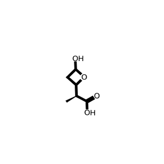 C[C@H](C(=O)O)C1CC(O)O1